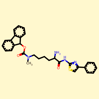 CN(CCCCC(N)C(=O)Nc1nc(-c2ccccc2)cs1)C(=O)OC1c2ccccc2-c2ccccc21